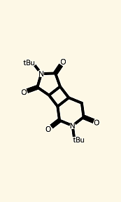 CC(C)(C)N1C(=O)CC2C(C1=O)C1C(=O)N(C(C)(C)C)C(=O)C21